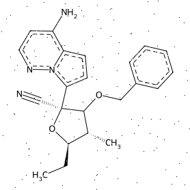 CC[C@H]1O[C@@](C#N)(c2ccc3c(N)ccnn23)C(OCc2ccccc2)[C@@H]1C